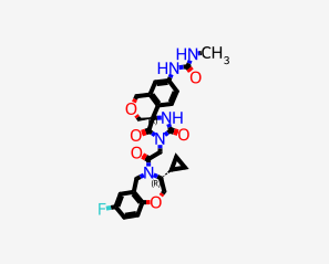 CNC(=O)Nc1ccc2c(c1)COC[C@]21NC(=O)N(CC(=O)N2Cc3cc(F)ccc3OC[C@H]2C2CC2)C1=O